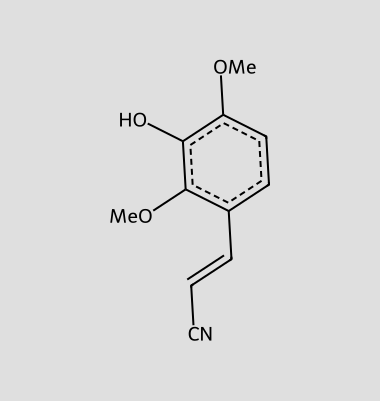 COc1ccc(/C=C/C#N)c(OC)c1O